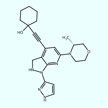 C[C@@H]1COCCN1c1cc(C#CC2(O)CCCCC2)c2c(n1)N(c1cc[nH]n1)NC2